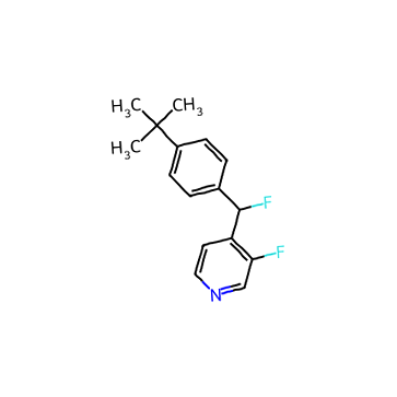 CC(C)(C)c1ccc(C(F)c2ccncc2F)cc1